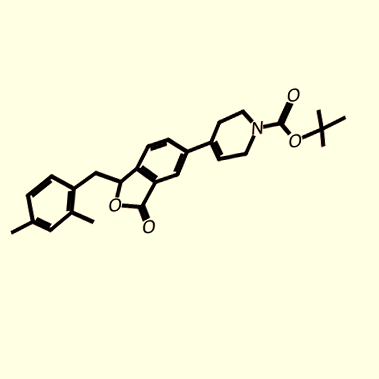 Cc1ccc(CC2OC(=O)c3cc(C4=CCN(C(=O)OC(C)(C)C)CC4)ccc32)c(C)c1